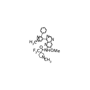 COc1cc2ncnc(-c3cn(C)nc3-c3ccccc3)c2nc1NC(=O)C1(C(F)(F)F)CCN(C)C1